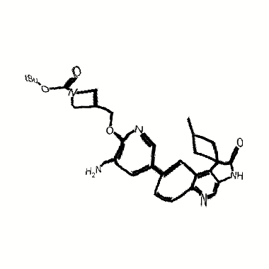 CC1CC2(C1)C(=O)Nc1cnc3ccc(-c4cnc(OCC5CN(C(=O)OC(C)(C)C)C5)c(N)c4)cc3c12